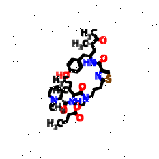 CCCC(=O)OCN(CCCc1nc(C(=O)N[C@@H](Cc2ccc(O)cc2)C[C@H](C)C(C)=O)cs1)C(=O)C(NC(=O)[C@H]1CCCCN1C)C(C)CC